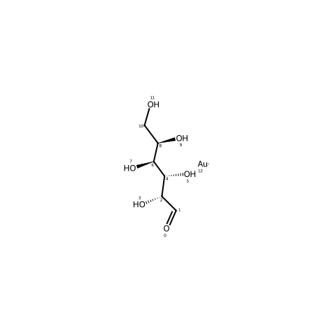 O=C[C@H](O)[C@@H](O)[C@@H](O)[C@H](O)CO.[Au]